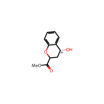 COC(=O)C1C[C@@H](O)c2ccccc2O1